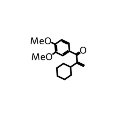 C=C(C(=O)c1ccc(OC)c(OC)c1)C1CCCCC1